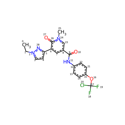 CCn1ccc(-c2cc(C(=O)Nc3ccc(OC(F)(F)Cl)cc3)cn(C)c2=O)n1